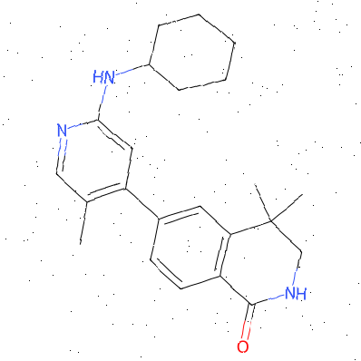 Cc1cnc(NC2CCCCC2)cc1-c1ccc2c(c1)C(C)(C)CNC2=O